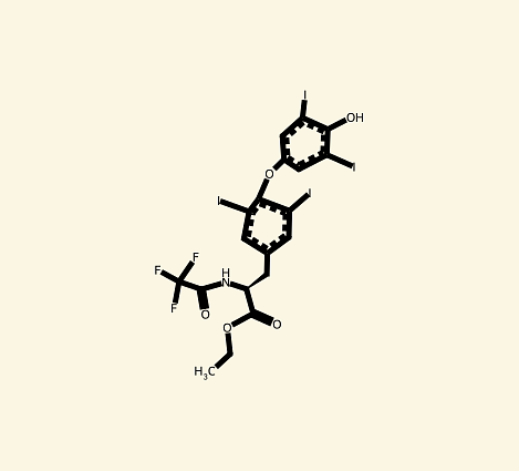 CCOC(=O)[C@H](Cc1cc(I)c(Oc2cc(I)c(O)c(I)c2)c(I)c1)NC(=O)C(F)(F)F